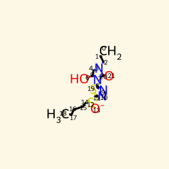 C=CCN1CC(O)N(c2nnc([S+]([O-])CCCCC)s2)C1=O